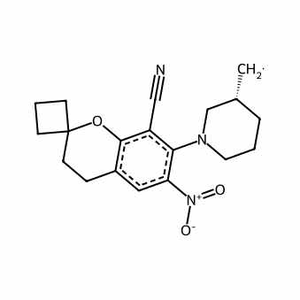 [CH2][C@@H]1CCCN(c2c([N+](=O)[O-])cc3c(c2C#N)OC2(CCC2)CC3)C1